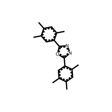 Cc1cc(C)c(-c2nnc(-c3cc(C)c(C)cc3C)o2)cc1C